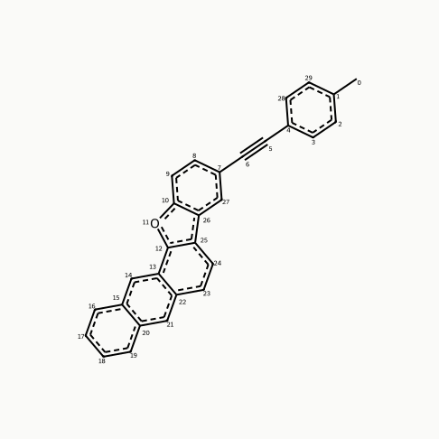 Cc1ccc(C#Cc2ccc3oc4c5cc6ccccc6cc5ccc4c3c2)cc1